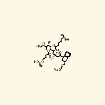 CCCCNC(=O)[C@@H](C[C@H](OC(=O)CCCON(O)O)C(CC(C)(C)CC(=O)N1C[C@H](COCOC)Oc2ccccc21)NC(=O)CCCON(O)O)C(C)C